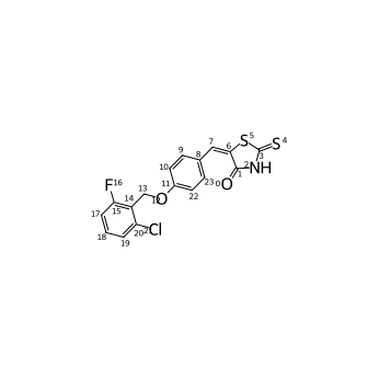 O=C1NC(=S)SC1=Cc1ccc(OCc2c(F)cccc2Cl)cc1